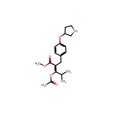 COC(=O)/C(Cc1ccc(OC2CCNC2)cc1)=C(\OC(C)=O)C(C)C